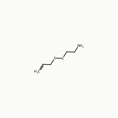 C=CCSSCCN